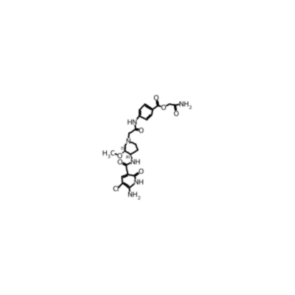 CO[C@H]1CN(CC(=O)Nc2ccc(C(=O)OCC(N)=O)cc2)CC[C@H]1NC(=O)c1cc(Cl)c(N)[nH]c1=O